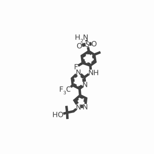 Cc1cc(Nc2ncc(C(F)(F)F)c(-c3cnn(CC(C)(C)O)c3)n2)c(F)cc1S(N)(=O)=O